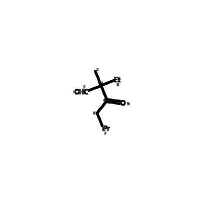 CCC(C)([C]=O)C(=O)CC(C)C